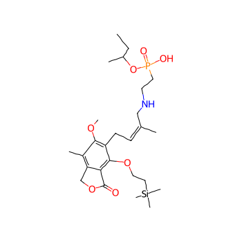 CCC(C)OP(=O)(O)CCNCC(C)=CCc1c(OC)c(C)c2c(c1OCC[Si](C)(C)C)C(=O)OC2